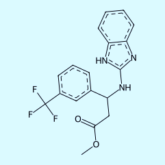 COC(=O)CC(Nc1nc2ccccc2[nH]1)c1cccc(C(F)(F)F)c1